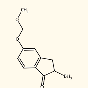 BC1Cc2cc(OCOC)ccc2C1=O